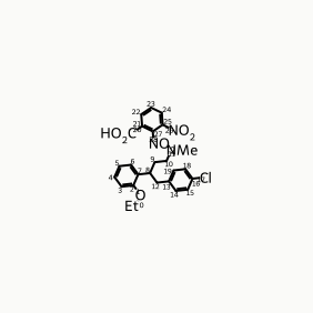 CCOc1ccccc1C(CCNC)Cc1ccc(Cl)cc1.O=C(O)c1cccc([N+](=O)[O-])c1[N+](=O)[O-]